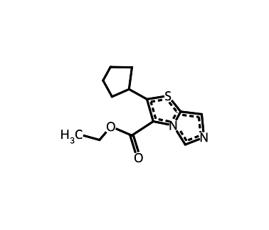 CCOC(=O)c1c(C2CCCC2)sc2cncn12